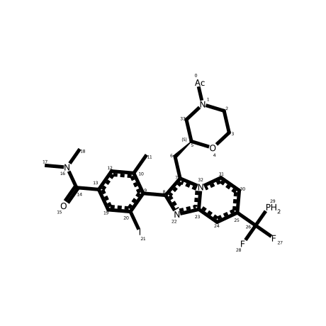 CC(=O)N1CCO[C@@H](Cc2c(-c3c(C)cc(C(=O)N(C)C)cc3I)nc3cc(C(F)(F)P)ccn23)C1